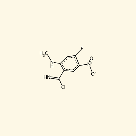 CNc1cc(F)c([N+](=O)[O-])cc1C(=N)Cl